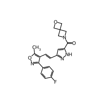 Cc1onc(-c2ccc(F)cc2)c1C=Cc1cc(C(=O)N2CC3(COC3)C2)[nH]n1